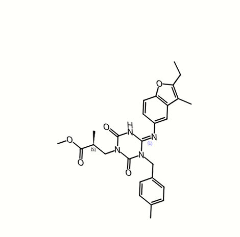 CCc1oc2ccc(/N=c3\[nH]c(=O)n(C[C@H](C)C(=O)OC)c(=O)n3Cc3ccc(C)cc3)cc2c1C